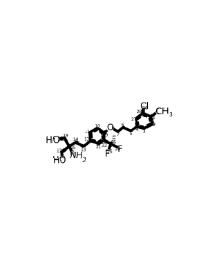 Cc1ccc(CCCOc2ccc(CCC(N)(CO)CO)cc2C(F)(F)F)cc1Cl